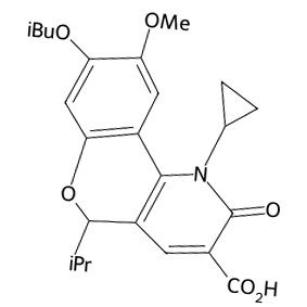 COc1cc2c(cc1OCC(C)C)OC(C(C)C)c1cc(C(=O)O)c(=O)n(C3CC3)c1-2